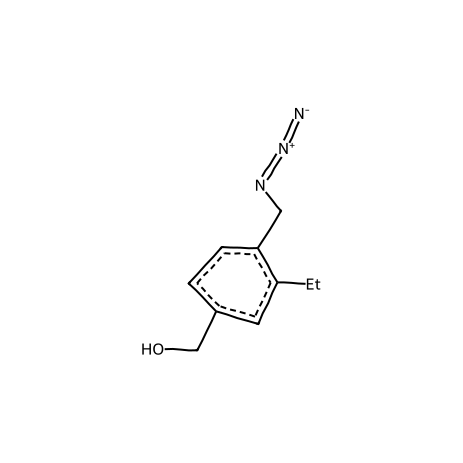 CCc1cc(CO)ccc1CN=[N+]=[N-]